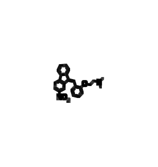 CN(C)CCOc1ccccc1C=C1c2ccccc2-c2ccc([N+](=O)[O-])cc21